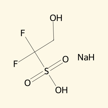 O=S(=O)(O)C(F)(F)CO.[NaH]